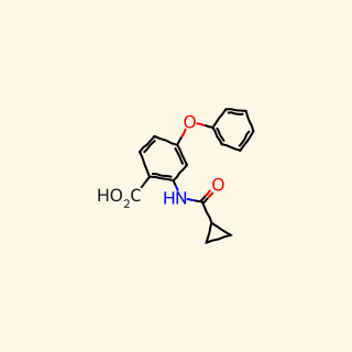 O=C(O)c1ccc(Oc2ccccc2)cc1NC(=O)C1CC1